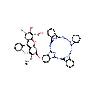 O=C([O-])c1ccccc1-c1c2cc(Br)c(=O)cc-2oc2[c]([Hg][OH])c([O-])c(Br)cc12.[Na+].[Na+].c1ccc2c(c1)-c1nc-2nc2[nH]c(nc3nc(nc4[nH]c(n1)c1ccccc41)-c1ccccc1-3)c1ccccc21